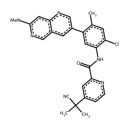 CNc1cc2ncc(-c3cc(NC(=O)c4cc(C(C)(C)C#N)ccn4)c(Cl)cc3C)cc2cn1